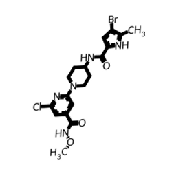 CONC(=O)c1cc(Cl)nc(N2CCC(NC(=O)c3cc(Br)c(C)[nH]3)CC2)c1